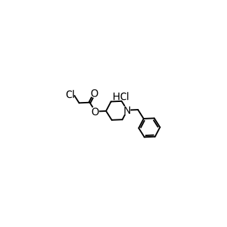 Cl.O=C(CCl)OC1CCN(Cc2ccccc2)CC1